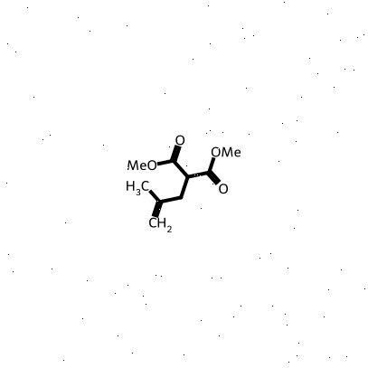 C=C(C)CC(C(=O)OC)C(=O)OC